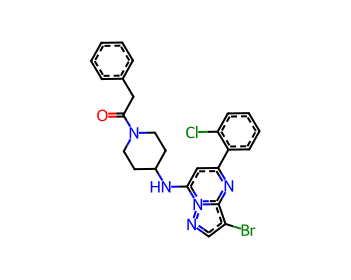 O=C(Cc1ccccc1)N1CCC(Nc2cc(-c3ccccc3Cl)nc3c(Br)cnn23)CC1